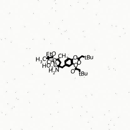 CCC(C)(C)C(=O)O[C@@H](C)CC(N)(Cc1ccc(OC(=O)CC(C)(C)C)c(OC(=O)CC(C)(C)C)c1)C(=O)O